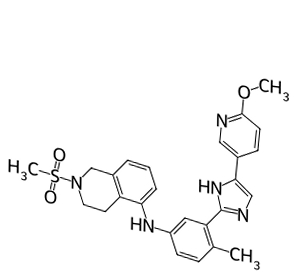 COc1ccc(-c2cnc(-c3cc(Nc4cccc5c4CCN(S(C)(=O)=O)C5)ccc3C)[nH]2)cn1